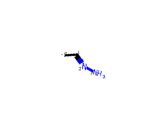 [CH2]/C=N/N